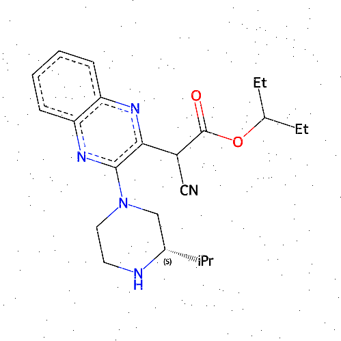 CCC(CC)OC(=O)C(C#N)c1nc2ccccc2nc1N1CCN[C@@H](C(C)C)C1